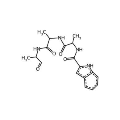 CC(C=O)NC(=O)C(C)NC(=O)C(C)NC(=O)c1cc2ccccc2[nH]1